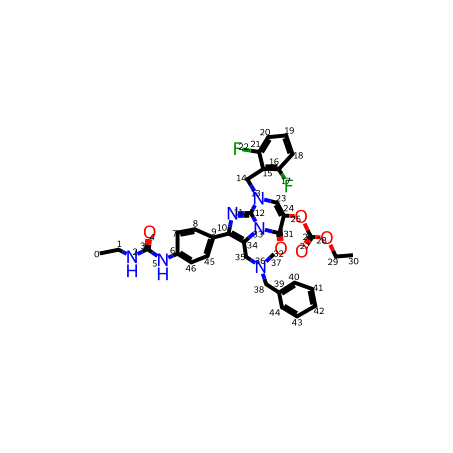 CCNC(=O)Nc1ccc(-c2nc3n(Cc4c(F)cccc4F)cc(OC(=O)OCC)c(=O)n3c2CN(C)Cc2ccccc2)cc1